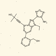 CCn1c(-c2nonc2N)nc2c(C#CC(C)(C)O)nc(-c3ccccc3CO)cc21